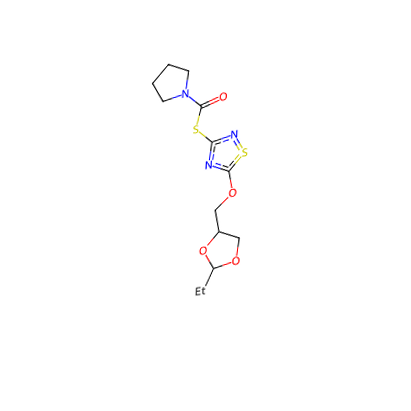 CCC1OCC(COc2nc(SC(=O)N3CCCC3)ns2)O1